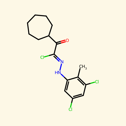 Cc1c(Cl)cc(Cl)cc1NN=C(Cl)C(=O)C1CCCCCC1